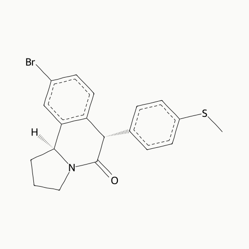 CSc1ccc([C@@H]2C(=O)N3CCC[C@H]3c3cc(Br)ccc32)cc1